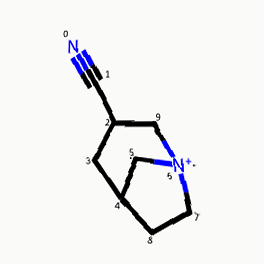 N#CC1CC2[CH][N+](CC2)C1